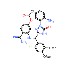 COc1cc(F)c(C(Nc2cc(OC(=O)C(F)(F)F)ccc2C(=N)N)c2nn(-c3ccccc3N)c(=O)[nH]2)cc1OC